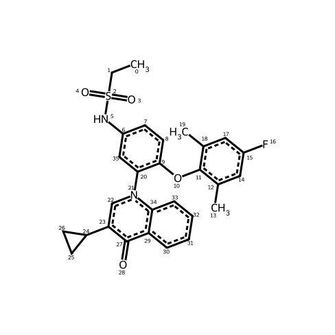 CCS(=O)(=O)Nc1ccc(Oc2c(C)cc(F)cc2C)c(-n2cc(C3CC3)c(=O)c3ccccc32)c1